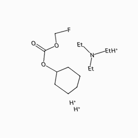 CCN(CC)CC.O=C(OCF)OC1CCCCC1.[H+].[H+].[H+]